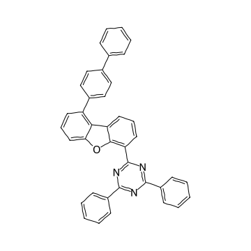 c1ccc(-c2ccc(-c3cccc4oc5c(-c6nc(-c7ccccc7)nc(-c7ccccc7)n6)cccc5c34)cc2)cc1